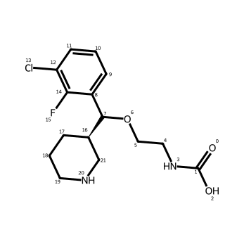 O=C(O)NCCOC(c1cccc(Cl)c1F)[C@@H]1CCCNC1